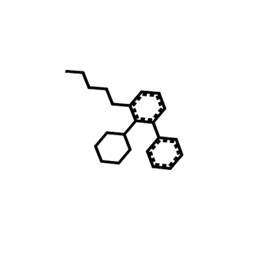 CCCCCc1cccc(-c2ccccc2)c1C1CCCCC1